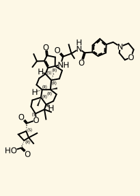 CC(C)C1=C2[C@H]3CC[C@@H]4[C@@]5(C)CC[C@H](OC(=O)[C@H]6C[C@@H](C(=O)O)C6(C)C)C(C)(C)[C@@H]5CC[C@@]4(C)[C@]3(C)CC[C@@]2(NC(=O)C(C)(C)NC(=O)c2ccc(CN3CCOCC3)cc2)CC1=O